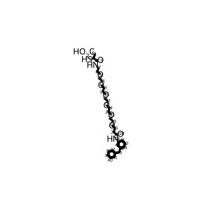 O=C(O)CC(S)C(=O)NCCOCCOCCOCCOCCOCCOCCC(=O)Nc1cccc(Cc2ccccc2)c1